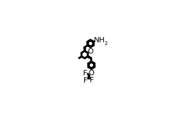 CC1C/C(=C/c2ccc(N)cc2)C(=O)/C(=C/c2ccc(OC(F)=C(F)F)cc2)C1